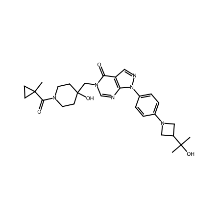 CC1(C(=O)N2CCC(O)(Cn3cnc4c(cnn4-c4ccc(N5CC(C(C)(C)O)C5)cc4)c3=O)CC2)CC1